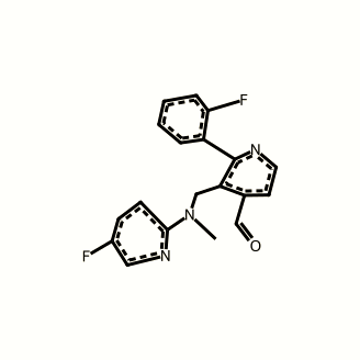 CN(Cc1c(C=O)ccnc1-c1ccccc1F)c1ccc(F)cn1